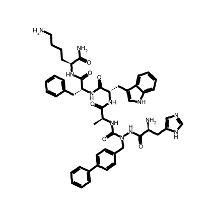 C[C@H](NC(=O)N(Cc1ccc(-c2ccccc2)cc1)NC(=O)[C@@H](N)Cc1cnc[nH]1)C(=O)N[C@@H](Cc1c[nH]c2ccccc12)C(=O)N[C@H](Cc1ccccc1)C(=O)N[C@@H](CCCCN)C(N)=O